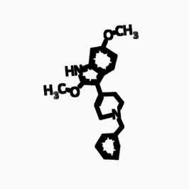 COc1ccc2c(C3=CCN(Cc4ccccc4)CC3)c(OC)[nH]c2c1